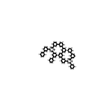 c1ccc(-c2cccc(-c3nc(-c4ccccc4)nc(-c4cccc(-c5cccc(-c6cccc(-c7cccc(-c8cccc(-c9nc(-c%10cccc(-c%11ccccc%11)c%10)nc(-c%10cccc(-c%11ccccc%11)c%10)n9)c8)c7)c6)c5)c4)n3)c2)cc1